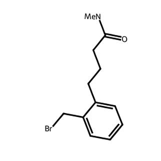 CNC(=O)CCCc1ccccc1CBr